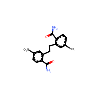 NC(=O)c1ccc([N+](=O)[O-])cc1CCc1cc([N+](=O)[O-])ccc1C(N)=O